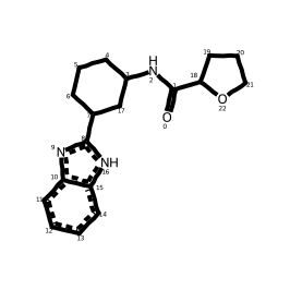 O=C(NC1CCCC(c2nc3ccccc3[nH]2)C1)C1CCCO1